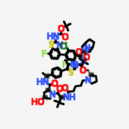 Cc1ncsc1-c1ccc([C@H](C)NC(=O)[C@@H]2C[C@@H](O)CN2C(=O)[C@@H](NC(=O)CCCCN2CCC[C@H]2COc2nc(N3CC4CCC(C3)N4C(=O)OC(C)(C)C)c3cc(Cl)c(-c4ccc(F)c5sc(NC(=O)OC(C)(C)C)nc45)c(F)c3n2)C(C)(C)C)cc1